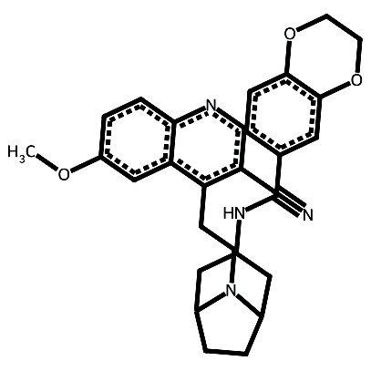 COc1ccc2ncc(C#N)c(CCN3C4CCC3CC(NCc3ccc5c(c3)OCCO5)C4)c2c1